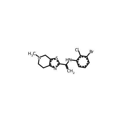 C=C(Nc1cccc(Br)c1Cl)c1nc2c(s1)CN(C)CC2